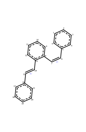 [c]1ccccc1/C=C\c1ccccc1/C=C/c1ccccc1